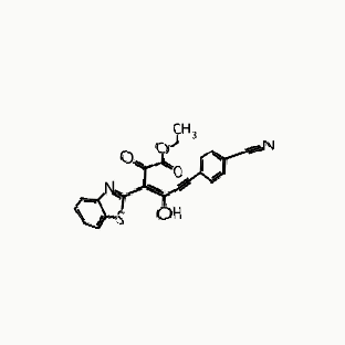 CCOC(=O)C(=O)/C(=C(/O)C#Cc1ccc(C#N)cc1)c1nc2ccccc2s1